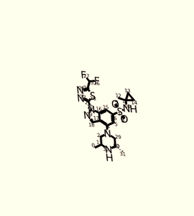 CC1CN(c2cc(S(=O)(=O)NC3(C)CC3)cc3c2cnn3-c2nnc(C(F)F)s2)C[C@H](C)N1